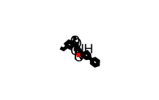 CCc1ccc(OC)c(S(=O)(=O)Nc2noc3cc(-c4ccccc4)ccc23)c1